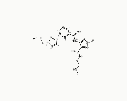 CNCCNC(=O)c1nn(C)cc1NC(=O)c1cccc(-c2cnn(CCCl)c2)n1